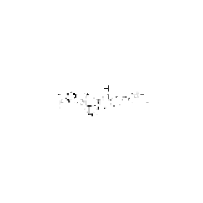 NC(=O)CN1CC[C@H](Cn2cnc3c(N(Cc4cccc(C(F)(F)F)c4)C4CC4)ncnc32)[C@@H](O)C1